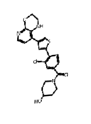 O=C(c1ccc(-c2cc(-c3ccnc4c3NCCO4)cs2)c(Cl)c1)N1CCC(O)CC1